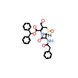 O=CC1=C(C(=O)OC(c2ccccc2)c2ccccc2)N2C(=O)C(NC(=O)Cc3ccccc3)[C@@H]2[S+]([O-])C1